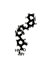 CCCNC(=O)c1ccc(-c2cnc3ncc(Cc4ccc5ncccc5c4)n3n2)cc1F